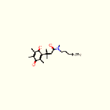 CNCCCN(C)C(=O)CC(C)(C)C1=C(C)C(=O)C(C)=C(C)C1=O